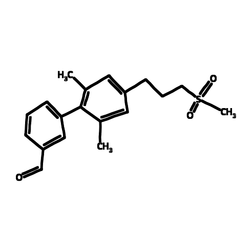 Cc1cc(CCCS(C)(=O)=O)cc(C)c1-c1cccc(C=O)c1